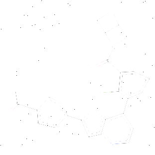 CC(=O)c1ccc(-c2cc3nccc(-c4cccc(C(=O)N5CC6OCC65)c4F)c3o2)cc1